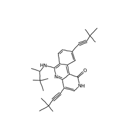 CC(Nc1nc2c(C#CC(C)(C)C)c[nH]c(=O)c2c2cc(C#CC(C)(C)C)ccc12)C(C)(C)C